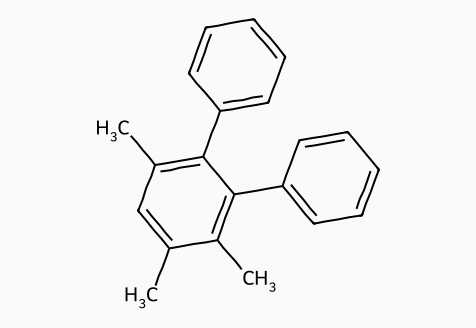 Cc1cc(C)c(-c2ccccc2)c(-c2ccccc2)c1C